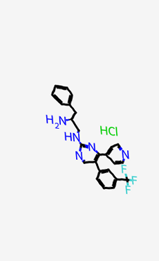 Cl.N[C@H](CNc1ncc(-c2cccc(C(F)(F)F)c2)c(-c2ccncc2)n1)Cc1ccccc1